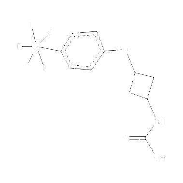 O=C(O)NC1CC(Oc2ccc(S(F)(F)(F)(F)F)cc2)C1